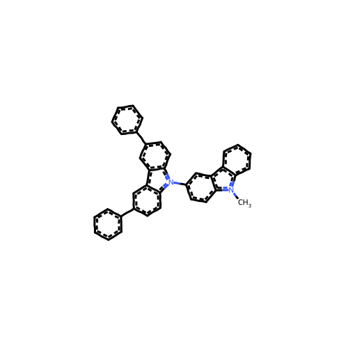 Cn1c2ccccc2c2cc(-n3c4ccc(-c5ccccc5)cc4c4cc(-c5ccccc5)ccc43)ccc21